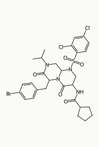 CC(C)N1CC2N(C(=O)C(NC(=O)C3CCCC3)CN2S(=O)(=O)c2ccc(Cl)cc2Cl)C(Cc2ccc(Br)cc2)C1=O